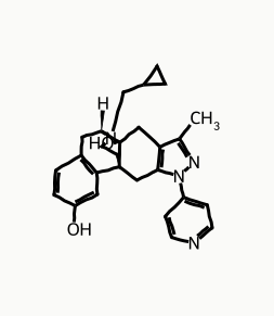 Cc1nn(-c2ccncc2)c2c1C[C@@]1(O)[C@H]3Cc4ccc(O)cc4[C@@]1(CCN3CC1CC1)C2